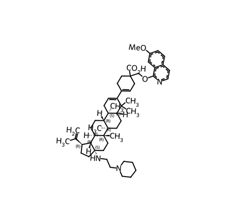 C=C(C)[C@@H]1CC[C@]2(NCCN3CCCCC3)CC[C@]3(C)[C@H](CC[C@@H]4[C@@]5(C)CC=C(C6=CCC(COc7nccc8ccc(OC)cc78)(C(=O)O)CC6)C(C)(C)[C@@H]5CC[C@]43C)[C@@H]12